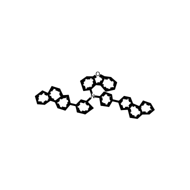 c1cc(-c2ccc3c(ccc4ccccc43)c2)cc(N(c2ccc(-c3ccc4c(ccc5ccccc54)c3)cc2)c2cccc3oc4ccccc4c23)c1